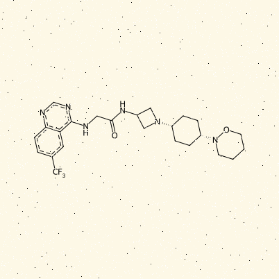 O=C(CNc1ncnc2ccc(C(F)(F)F)cc12)NC1CN([C@H]2CC[C@@H](N3CCCCO3)CC2)C1